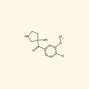 CCCC1(C(=O)c2ccc(Cl)c(OC(F)(F)F)c2)CCNC1